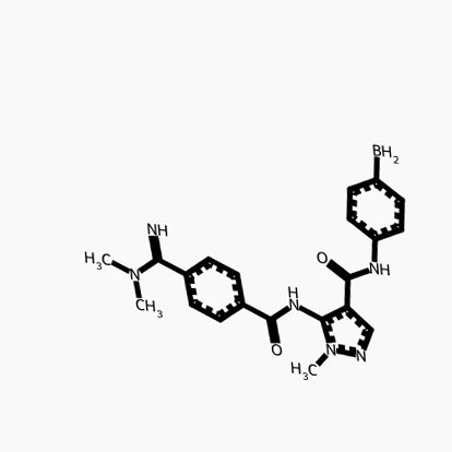 Bc1ccc(NC(=O)c2cnn(C)c2NC(=O)c2ccc(C(=N)N(C)C)cc2)cc1